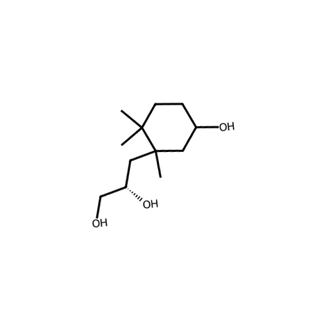 CC1(C)CCC(O)CC1(C)C[C@H](O)CO